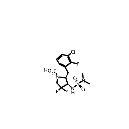 CN(C)S(=O)(=O)N[C@@H]1[C@H](Cc2cccc(Cl)c2F)N(C(=O)O)CC1(F)F